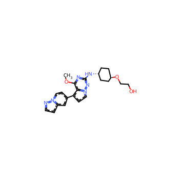 COc1nc(N[C@H]2CC[C@H](OCCO)CC2)nn2ccc(-c3ccn4nccc4c3)c12